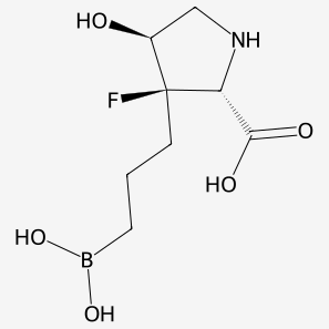 O=C(O)[C@H]1NC[C@H](O)[C@@]1(F)CCCB(O)O